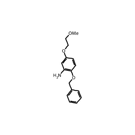 COCCOc1ccc(OCc2ccccc2)c(N)c1